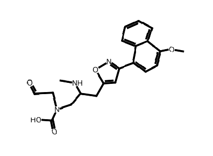 CNC(Cc1cc(-c2ccc(OC)c3ccccc23)no1)CN(CC=O)C(=O)O